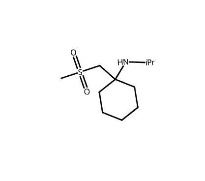 CC(C)NC1(CS(C)(=O)=O)CCCCC1